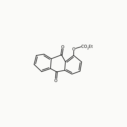 CCOC(=O)Oc1cccc2c1C(=O)c1ccccc1C2=O